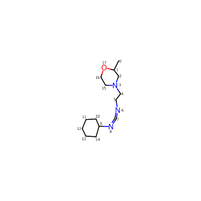 CC1CN(CCN=C=NC2CCCCC2)CCO1